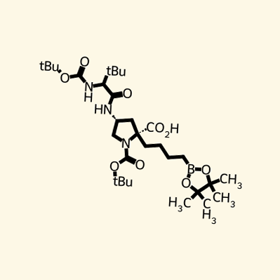 CC(C)(C)OC(=O)NC(C(=O)N[C@H]1CN(C(=O)OC(C)(C)C)[C@@](CCCCB2OC(C)(C)C(C)(C)O2)(C(=O)O)C1)C(C)(C)C